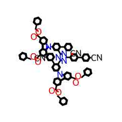 [C-]#[N+]c1cccc(-c2ccc(-n3c4ccc(C(=O)OCc5ccccc5)cc4c4cc(C(=O)OCc5ccccc5)ccc43)cc2-c2nc(-c3ccc(-c4ccc(C#N)cc4)cc3)nc(-c3cc(-n4c5ccc(C(=O)OCc6ccccc6)cc5c5cc(C(=O)OCc6ccccc6)ccc54)ccc3-c3cccc(C#N)c3)n2)c1